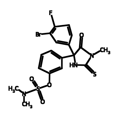 CN1C(=O)C(c2cccc(OS(=O)(=O)N(C)C)c2)(c2ccc(F)c(Br)c2)NC1=S